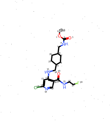 CC(C)(C)OC(=O)NCC1CCC(CNc2cc(Cl)ncc2C(=O)NCCF)CC1